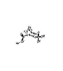 N.N.N.O=P(O)(O)O.O=[N+]([O-])[O-].[Na+]